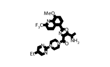 CCc1cnc(N2CCN(C(=O)c3nc(-c4ccc(OC)c5nc(C(F)(F)F)ccc45)oc3C(C)N)CC2)nc1